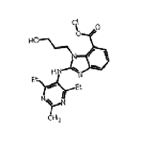 CCc1nc(C)nc(CC)c1Nc1nc2cccc(C(=O)OCl)c2n1CCCO